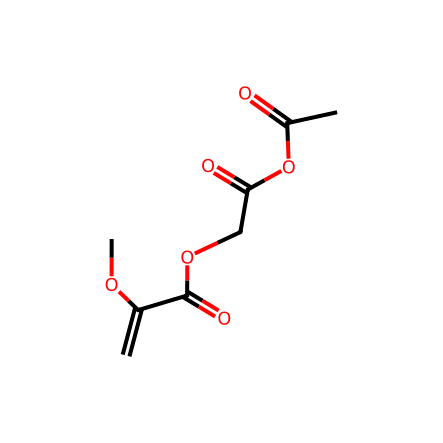 C=C(OC)C(=O)OCC(=O)OC(C)=O